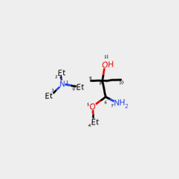 CCN(CC)CC.CCOC(N)C(C)(C)O